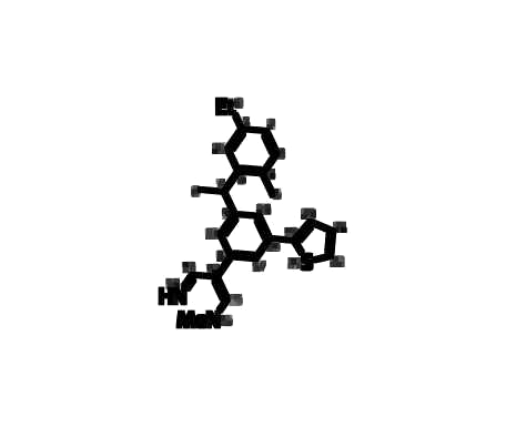 CCc1ccc(C)c(C(C)c2cc(/C(C=N)=C/NC)cc(-c3cccs3)c2)c1